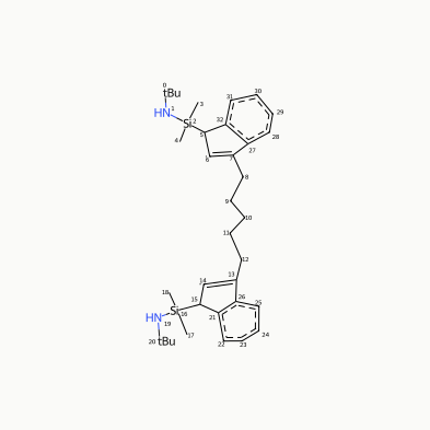 CC(C)(C)N[Si](C)(C)C1[C]=C(CCCCCC2=[C]C([Si](C)(C)NC(C)(C)C)c3ccccc32)c2ccccc21